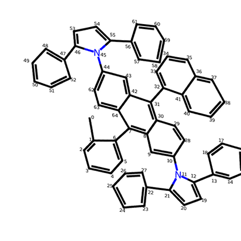 Cc1ccccc1-c1c2cc(-n3c(-c4ccccc4)ccc3-c3ccccc3)ccc2c(-c2cccc3ccccc23)c2cc(-n3c(-c4ccccc4)ccc3-c3ccccc3)ccc12